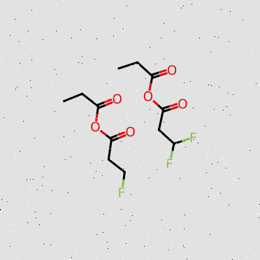 CCC(=O)OC(=O)CC(F)F.CCC(=O)OC(=O)CCF